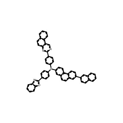 c1ccc2cc(-c3ccc4c(ccc5cc(N(c6ccc(-c7ncc8c(ccc9ccccc98)n7)cc6)c6ccc(-c7nc8ccccc8o7)cc6)ccc54)c3)ccc2c1